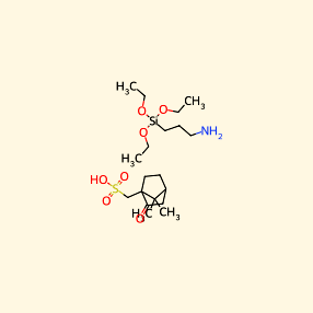 CC1(C)C2CCC1(CS(=O)(=O)O)C(=O)C2.CCO[Si](CCCN)(OCC)OCC